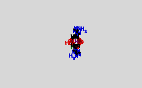 Nc1ncnc2c1ncn2[C@@H]1C[C@@H]2COP(=O)(O)O[C@H]3[C@@H](F)[C@H](n4cnc5c(N)ncnc54)O[C@@H]3CO[PH](=O)OC[C@H]21